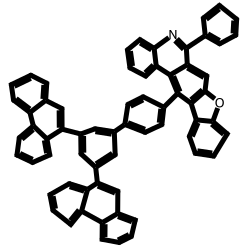 c1ccc(-c2nc3ccccc3c3c(-c4ccc(-c5cc(-c6cc7ccccc7c7ccccc67)cc(-c6cc7ccccc7c7ccccc67)c5)cc4)c4c(cc23)oc2ccccc24)cc1